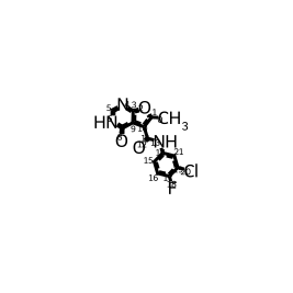 Cc1oc2nc[nH]c(=O)c2c1C(=O)Nc1ccc(F)c(Cl)c1